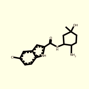 CC1(O)CCC(N)C(NC(=O)c2cc3cc(Cl)ccc3[nH]2)C1